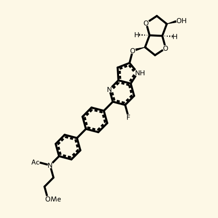 COCCN(C(C)=O)c1ccc(-c2ccc(-c3nc4cc(O[C@@H]5CO[C@H]6[C@@H]5OC[C@H]6O)[nH]c4cc3F)cc2)cc1